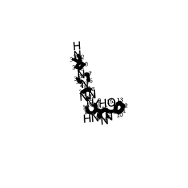 C[C@H]1c2c([nH]c3nnc(-c4ccccc4O)cc23)CCN1c1ncc(N2CCN(C3CC4(CNC4)C3)CC2)cn1